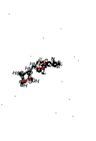 CCOc1ccccc1-c1ncc(C2(C(=O)NCCN(C)CCNC(=O)CCNC(=O)CN3CCN(CC(=O)O)CCN(CC(=O)O)CCN(CC(=O)O)CC3)CCN(c3ccc(C(F)(F)F)cc3C#N)CC2)cc1F